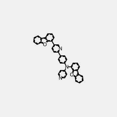 c1ccc2c(c1)oc1c(-c3ccc(-c4ccc(N(c5ccncc5)c5cccc6c5oc5ccccc56)cc4)nc3)cccc12